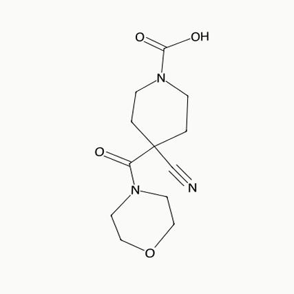 N#CC1(C(=O)N2CCOCC2)CCN(C(=O)O)CC1